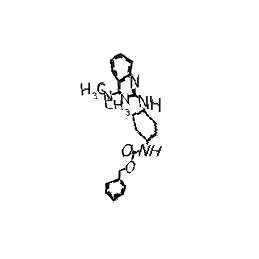 CN(C)c1nc(NC2CCC(NC(=O)OCc3ccccc3)CC2)nc2ccccc12